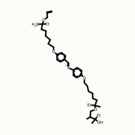 BC(CC)(CCCCCCOc1ccc(/C=N/c2ccc(OCCCCCCC(C)(CC)OCC(C)C(C)(O)CC)cc2)cc1)OCC=C